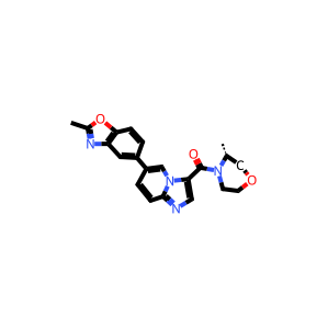 Cc1nc2cc(-c3ccc4ncc(C(=O)N5CCOC[C@H]5C)n4c3)ccc2o1